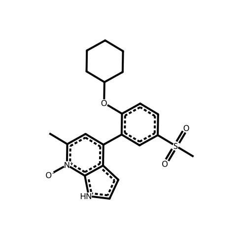 Cc1cc(-c2cc(S(C)(=O)=O)ccc2OC2CCCCC2)c2cc[nH]c2[n+]1[O-]